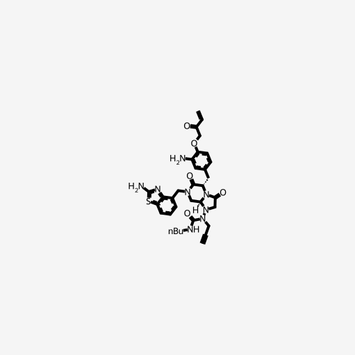 C#CCN(C(=O)NCCCC)N1CC(=O)N2[C@@H](Cc3ccc(OCC(=O)C=C)c(N)c3)C(=O)N(Cc3cccc4sc(N)nc34)C[C@@H]21